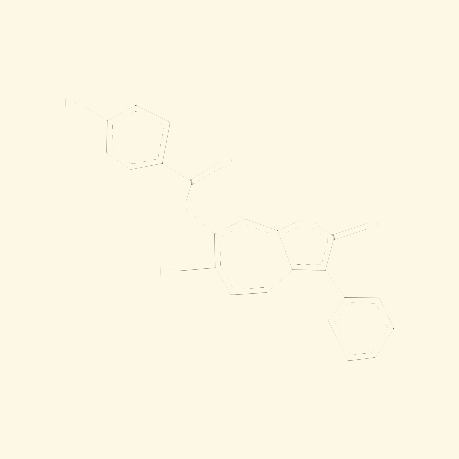 O=C(Sc1cc2oc(=O)c(-c3ccccc3)c-2ccc1S)c1ccc(O)cc1